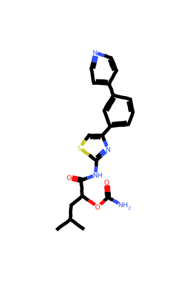 CC(C)CC(OC(N)=O)C(=O)Nc1nc(-c2cccc(-c3ccncc3)c2)cs1